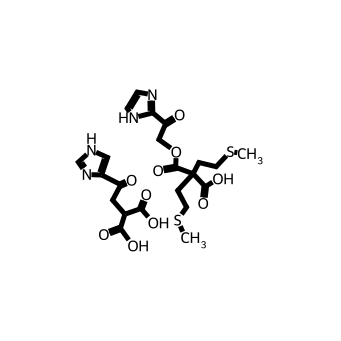 CSCCC(CCSC)(C(=O)O)C(=O)OCC(=O)c1ncc[nH]1.O=C(CC(C(=O)O)C(=O)O)c1c[nH]cn1